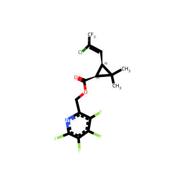 CC1(C)[C@H](C=C(Cl)C(F)(F)F)[C@@H]1C(=O)OCc1nc(F)c(F)c(F)c1F